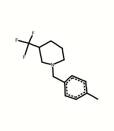 Cc1ccc(CN2CCCC(C(F)(F)F)C2)cc1